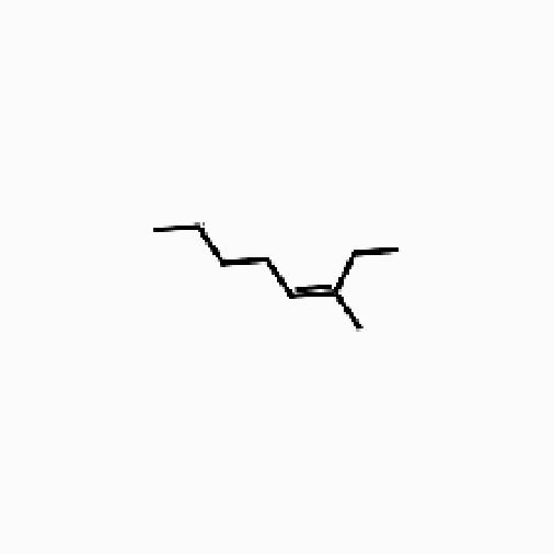 C[C]CCC=C(C)CC